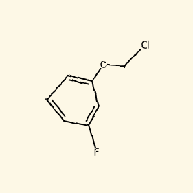 Fc1cccc(O[CH]Cl)c1